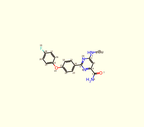 CCC(C)Nc1cc(C(N)=O)nc(-c2ccc(Oc3ccc(F)cc3)cc2)n1